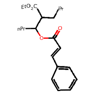 CCCC(OC(=O)C=Cc1ccccc1)C(CC(C)C)C(=O)OCC